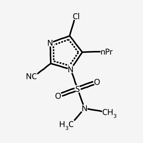 CCCc1c(Cl)nc(C#N)n1S(=O)(=O)N(C)C